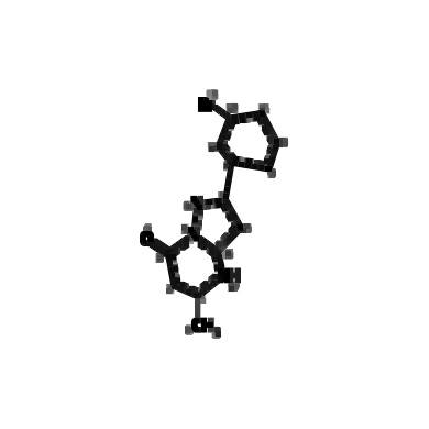 Cc1cc(=O)n2nc(-c3cccc(Br)c3)cc2[nH]1